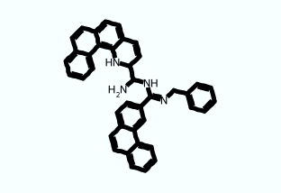 NC(N/C(=N\Cc1ccccc1)c1ccc2ccc3ccccc3c2c1)C1C=Cc2ccc3ccc4ccccc4c3c2N1